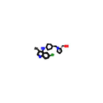 CC(=O)c1cnc2ccc(Br)cc2c1N[C@H]1CC[C@H](CN2CCC[C@H]2CO)CC1